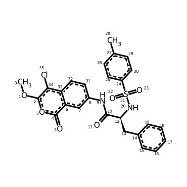 COc1oc(=O)c2cc(NC(=O)[C@H](Cc3ccccc3)NS(=O)(=O)c3ccc(C)cc3)ccc2c1Cl